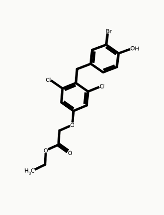 CCOC(=O)COc1cc(Cl)c(Cc2ccc(O)c(Br)c2)c(Cl)c1